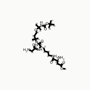 COC(=O)C[C@H](N)C(=O)NCCCC[C@H](NC(=O)CN)C(=O)NC(C)(C)CCOC(C)(C)NC(=O)OC(C)(C)C